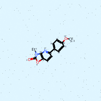 CCn1c(=O)oc2ccc(-c3ccc(OC(F)(F)F)cc3)nc21